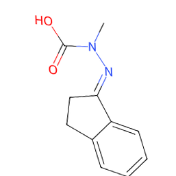 CN(N=C1CCc2ccccc21)C(=O)O